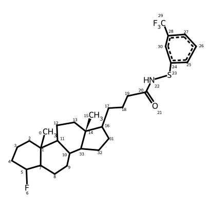 CC12CCCC(F)C1CCC1C2CC[C@]2(C)C(CCCC(=O)NSc3cccc(C(F)(F)F)c3)CCC12